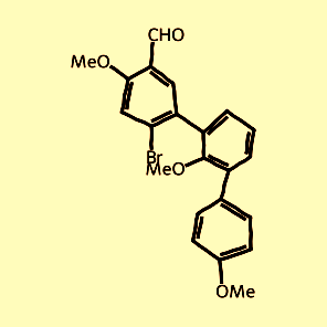 COc1ccc(-c2cccc(-c3cc(C=O)c(OC)cc3Br)c2OC)cc1